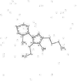 CCCCc1nn(-c2ccccc2C)c(CCC)c1O